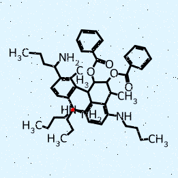 CCCCNc1ccc(NCCCC)c2c1C(C)C(OC(=O)c1ccccc1)C(OC(=O)c1ccccc1)C2c1c(C(N)CCC)ccc(C(N)CCC)c1C